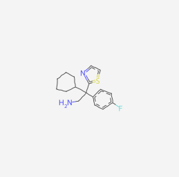 NCC(c1ccc(F)cc1)(c1nccs1)C1CCCCC1